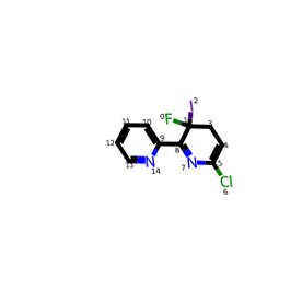 FC1(I)CC=C(Cl)N=C1c1ccccn1